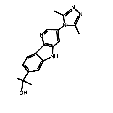 Cc1nnc(C)n1-c1cnc2c(c1)[nH]c1cc(C(C)(C)O)ccc12